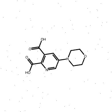 O=C(O)c1cc(N2CCOCC2)cnc1C(=O)O